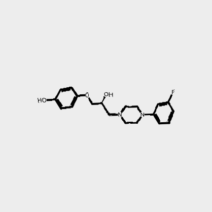 Oc1ccc(OC[C@@H](O)CN2CCN(c3cccc(F)c3)CC2)cc1